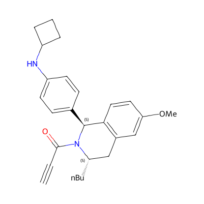 C#CC(=O)N1[C@@H](CCCC)Cc2cc(OC)ccc2[C@@H]1c1ccc(NC2CCC2)cc1